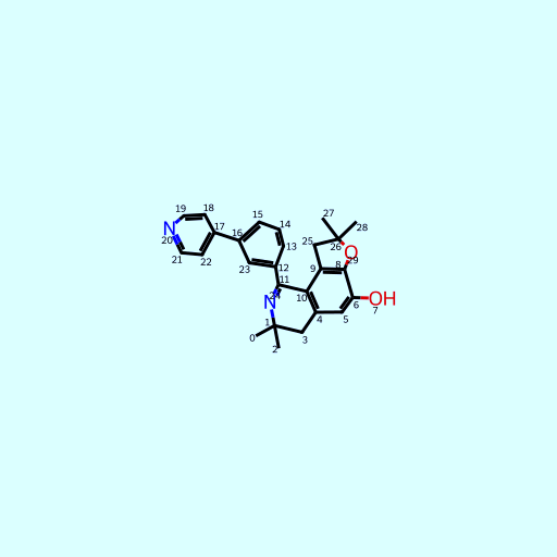 CC1(C)Cc2cc(O)c3c(c2C(c2cccc(-c4ccncc4)c2)=N1)CC(C)(C)O3